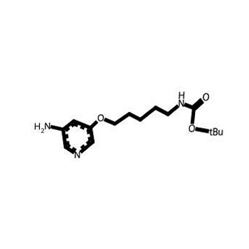 CC(C)(C)OC(=O)NCCCCCOc1cncc(N)c1